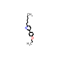 C=CCOc1ccc(-c2ccc(CCCCCC)nc2)cc1